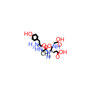 C[C@H](NC(=O)[C@@H](N)Cc1ccc(O)cc1)C(=O)N[C@@H](CCC(=O)O)C(=O)NCC(=O)O